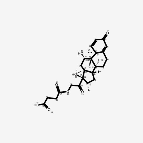 C[C@H]1C[C@H]2[C@@H]3CCC4=CC(=O)C=C[C@]4(C)[C@@]3(F)[C@@H](O)C[C@]2(C)[C@@]1(O)C(=O)COC(=O)CCC(=O)O